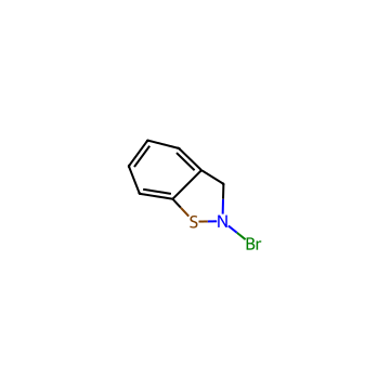 BrN1Cc2ccccc2S1